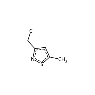 Cc1cc(CCl)ns1